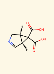 O=C(O)C1(C(=O)O)[C@@H]2C=NC[C@@H]21